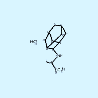 CC(NC1C2CC3CC(C2)CC1C3)C(=O)O.Cl